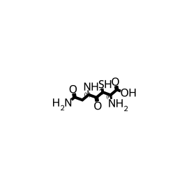 NC(=O)C[C@H](N)C(=O)C(S)[C@H](N)C(=O)O